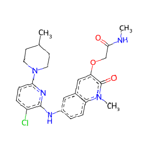 CNC(=O)COc1cc2cc(Nc3nc(N4CCC(C)CC4)ccc3Cl)ccc2n(C)c1=O